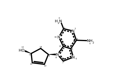 Nc1nc(N)c2ncn([C@H]3C=C[C@@H](O)C3)c2n1